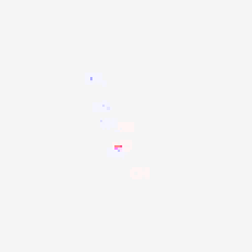 NCCCCNCCCO.NCCCCNCCCO.O=C(O)CC(O)C(=O)O